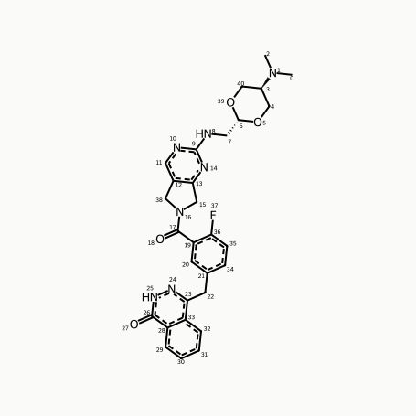 CN(C)[C@H]1CO[C@H](CNc2ncc3c(n2)CN(C(=O)c2cc(Cc4n[nH]c(=O)c5ccccc45)ccc2F)C3)OC1